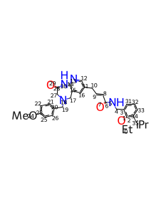 CCOc1c(CNC(=O)/C=C/Cc2cnc3c(c2)CN(Cc2ccc(OC)cc2)CC(=O)N3)cccc1C(C)C